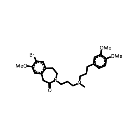 COc1cc2c(cc1Br)CCN(CCCN(C)CCCc1ccc(OC)c(OC)c1)C(=O)C2